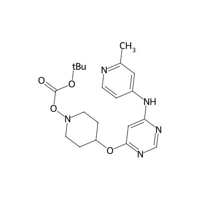 Cc1cc(Nc2cc(OC3CCN(OC(=O)OC(C)(C)C)CC3)ncn2)ccn1